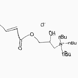 CC=CC(=O)OCC(O)C[N+](CCCC)(CCCC)CCCC.[Cl-]